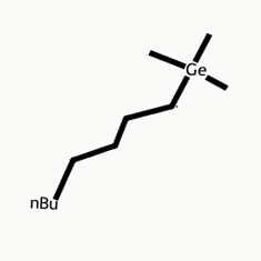 CCCCCCC[CH][Ge]([CH3])([CH3])[CH3]